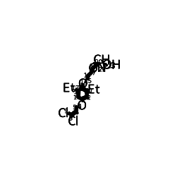 CCc1cc(OCC=C(Cl)Cl)cc(CC)c1OCCCOC(C)=NO